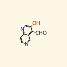 O=Cc1c(O)cnc2ccncc12